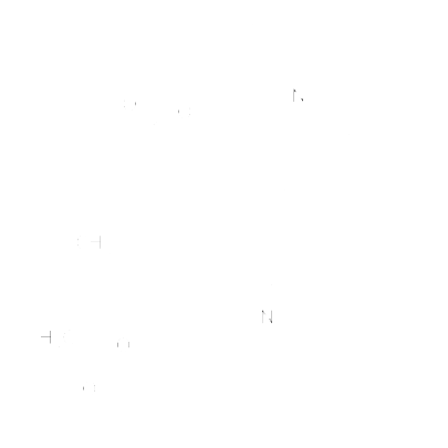 CCCCCC(=O)OC1CC=Cc2ccc(N(c3ccc(-c4ccc(N(c5ccc6c(c5)C=CCC6OC(C)=O)c5cccc6ccccc56)cc4)cc3)c3cccc4ccccc34)cc21